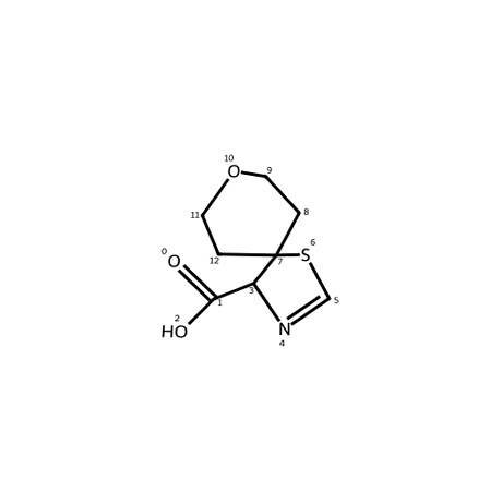 O=C(O)C1N=CSC12CCOCC2